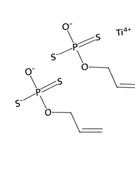 C=CCOP([O-])(=S)[S-].C=CCOP([O-])(=S)[S-].[Ti+4]